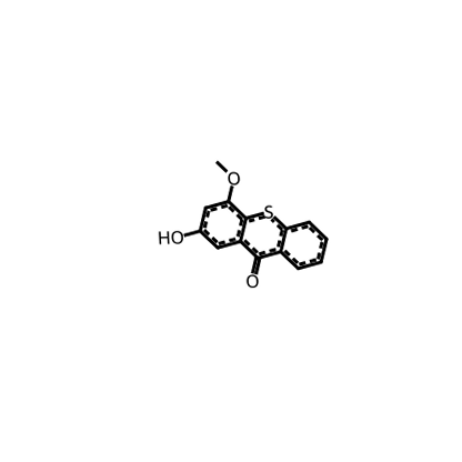 COc1cc(O)cc2c(=O)c3ccccc3sc12